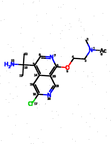 CC(=O)N(C)CCOc1ncc(C(C)(C)N)c2cc(Cl)ncc12